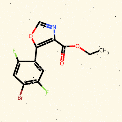 CCOC(=O)c1ncoc1-c1cc(F)c(Br)cc1F